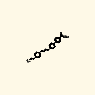 C=CC[C@H]1CC[C@H](CCCC[C@H]2CC[C@H](c3ccc(C(CC)OC)cc3)CC2)CC1